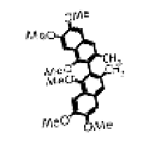 COc1cc2cc(C)c(-c3c(C)cc4cc(OC)c(OC)cc4c3OC)c(OC)c2cc1OC